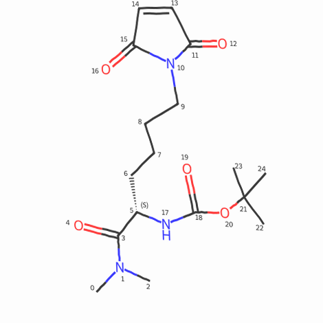 CN(C)C(=O)[C@H](CCCCN1C(=O)C=CC1=O)NC(=O)OC(C)(C)C